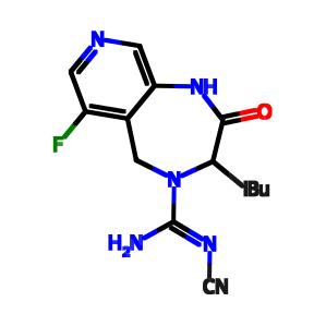 CCC(C)C1C(=O)Nc2cncc(F)c2CN1C(N)=NC#N